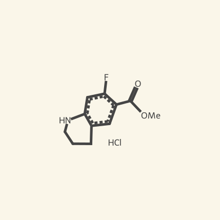 COC(=O)c1cc2c(cc1F)NCCC2.Cl